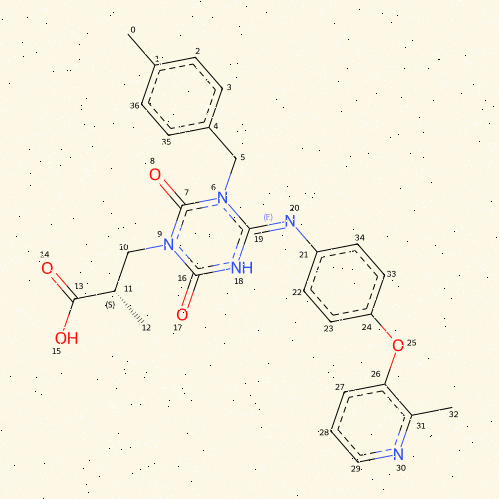 Cc1ccc(Cn2c(=O)n(C[C@H](C)C(=O)O)c(=O)[nH]/c2=N\c2ccc(Oc3cccnc3C)cc2)cc1